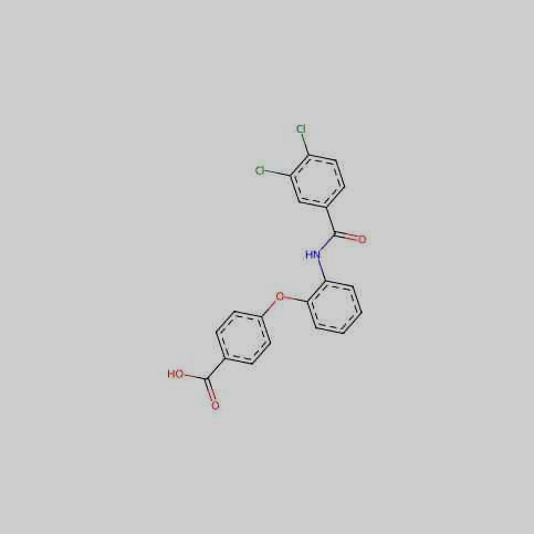 O=C(O)c1ccc(Oc2ccccc2NC(=O)c2ccc(Cl)c(Cl)c2)cc1